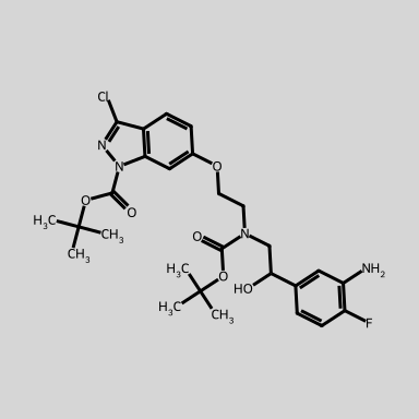 CC(C)(C)OC(=O)N(CCOc1ccc2c(Cl)nn(C(=O)OC(C)(C)C)c2c1)CC(O)c1ccc(F)c(N)c1